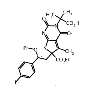 CCOC(=O)C1(CC(OC(C)C)c2ccc(I)cc2)SC2=NC(=O)N(C(C)(C)C(=O)O)C(=O)C2=C1C